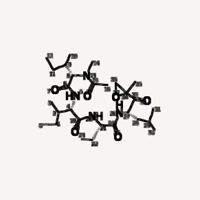 CCC(C)[C@H](NC(=O)[C@H](C(C)CC)N(C)C(C)=O)C(=O)N[C@@H](CC)C(=O)N[C@@H](CC(C)C)C(=O)C1(C)CO1